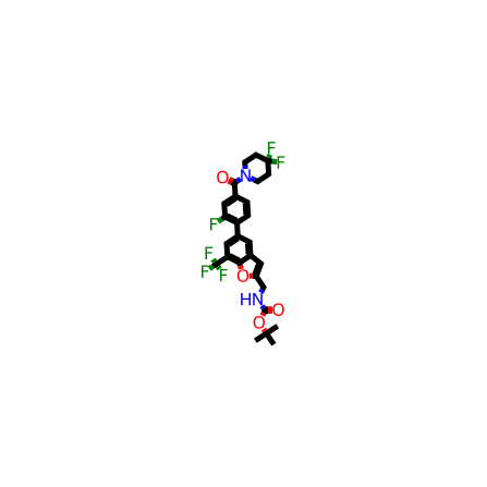 CC(C)(C)OC(=O)NCc1cc2cc(-c3ccc(C(=O)N4CCC(F)(F)CC4)cc3F)cc(C(F)(F)F)c2o1